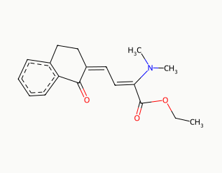 CCOC(=O)C(=CC=C1CCc2ccccc2C1=O)N(C)C